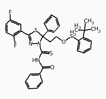 CC(C)(C)c1ccccc1[SiH2]OCCC1(c2ccccc2)SC(c2cc(F)ccc2F)=NN1C(=S)NC(=O)c1ccccc1